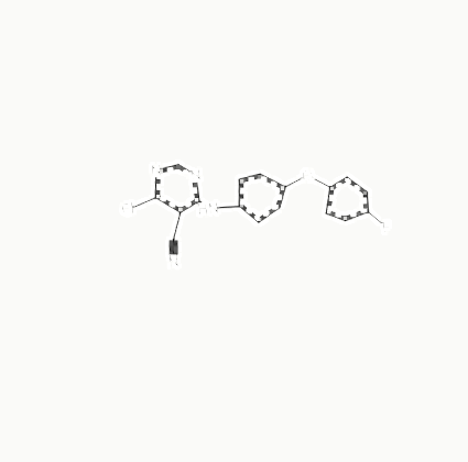 N#Cc1c(Cl)ncnc1Nc1ccc(Oc2ccc(F)cc2)cc1